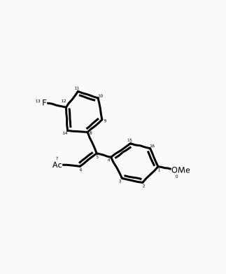 COc1ccc(/C(=C/C(C)=O)c2cccc(F)c2)cc1